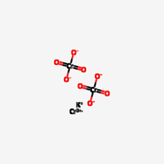 [Cr+3].[K+].[O]=[Cr](=[O])([O-])[O-].[O]=[Cr](=[O])([O-])[O-]